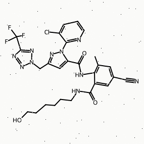 Cc1cc(C#N)cc(C(=O)NCCCCCCO)c1NC(=O)c1cc(Cn2nnc(C(F)(F)F)n2)nn1-c1ncccc1Cl